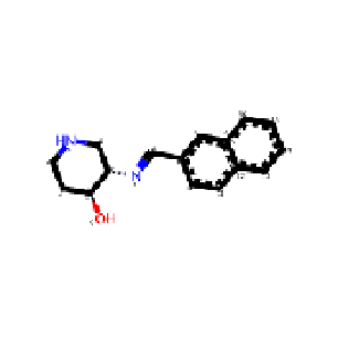 O[C@H]1CCNC[C@@H]1/N=C/c1ccc2ccccc2c1